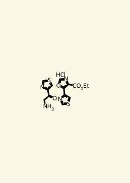 CCOC(=O)c1ncoc1-c1cscn1.Cl.NCC(=O)c1cscn1